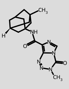 Cn1nnc2c(C(=O)NC34CC5C[C@H](CC(C)(C5)C3)C4)ncn2c1=O